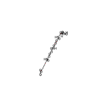 O=C(CCCCCCCCCCCCC(=O)OCc1ccccc1)NCCOCCOCCOCCC(=O)NCCOCCOCCOCCC(=O)NCCCC[C@H](NC(=O)OCc1ccccc1)C(=O)O